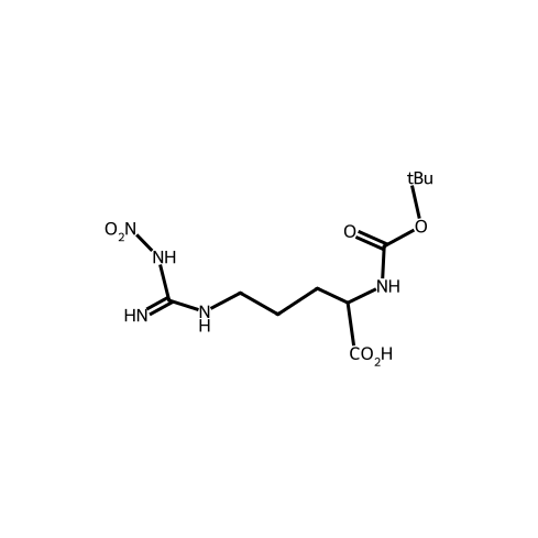 CC(C)(C)OC(=O)NC(CCCNC(=N)N[N+](=O)[O-])C(=O)O